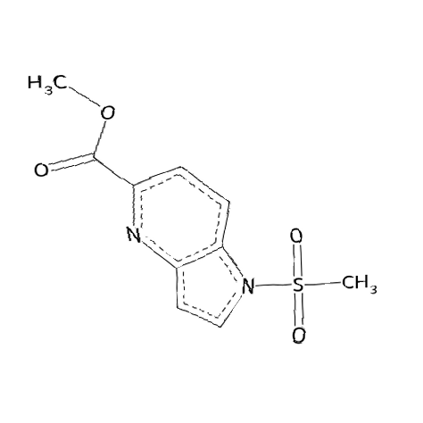 COC(=O)c1ccc2c(ccn2S(C)(=O)=O)n1